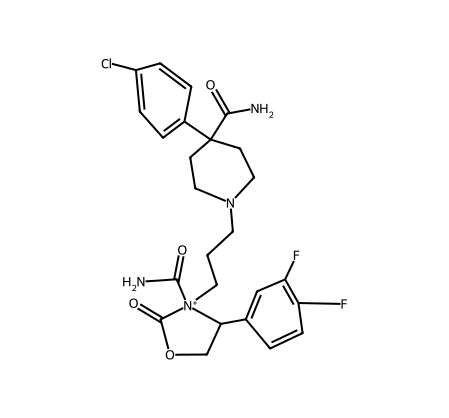 NC(=O)C1(c2ccc(Cl)cc2)CCN(CCC[N+]2(C(N)=O)C(=O)OCC2c2ccc(F)c(F)c2)CC1